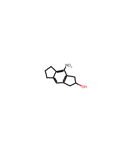 O=[N+]([O-])c1c2c(cc3c1CC(O)C3)CCC2